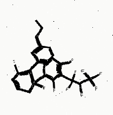 CCCc1cccc(C2=C(F)C=CCC2(F)c2ccc(F)c(C(F)(F)C(F)C(F)(F)F)c2F)c1